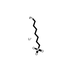 CC(C)CCCCCCCS(=O)(=O)[O-].[Li+]